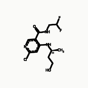 C[C@@H](CCO)Nc1cc(Cl)ncc1C(=O)NCC(F)F